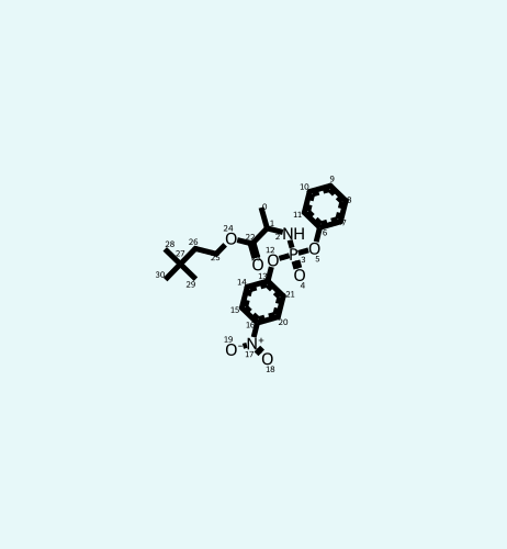 CC(NP(=O)(Oc1ccccc1)Oc1ccc([N+](=O)[O-])cc1)C(=O)OCCC(C)(C)C